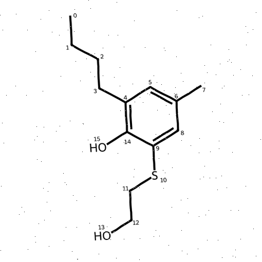 CCCCc1cc(C)cc(SCCO)c1O